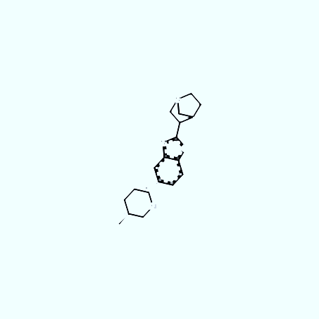 C[C@H]1CC[C@H](c2ccc3sc(C4CN5CCC4C5)nc3c2)NC1